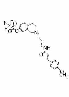 COc1ccc(/C=C/C(=O)NCCCCN2CCc3ccc(OS(=O)(=O)C(F)(F)F)cc3C2)cc1